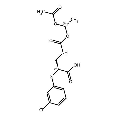 CC(=O)O[C@H](C)OC(=O)NC[C@H](Sc1cccc(Cl)c1)C(=O)O